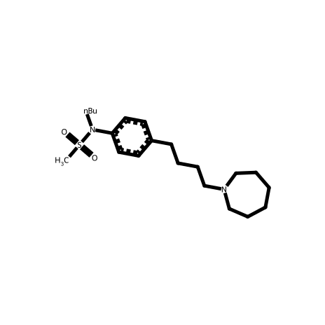 CCCCN(c1ccc(CCCCN2CCCCCC2)cc1)S(C)(=O)=O